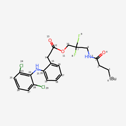 CC(C)(C)CCC(=O)NCC(F)(F)COC(=O)Cc1ccccc1Nc1c(Cl)cccc1Cl